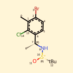 Cc1c(Br)ccc([C@@H](C)N[S@@+]([O-])C(C)(C)C)c1Cl